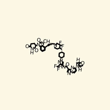 Cn1c(=O)n(C2CCC(=O)NC2=O)c2cccc(C#CCN3CCC(C[C@H]4CC[C@H](n5cc(NC(=O)c6cnn7ccc(N8C[C@H]9C[C@@H]8CO9)nc67)c(C(F)F)n5)CC4)C(F)(F)C3)c21